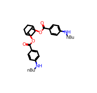 CCCCNc1ccc(C(=O)OC2C3CCC(CC3)C2OC(=O)c2ccc(NCCCC)cc2)cc1